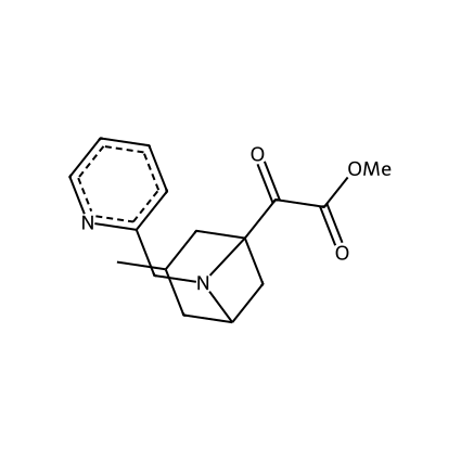 COC(=O)C(=O)C12CC(C)CC(C1)N2Cc1ccccn1